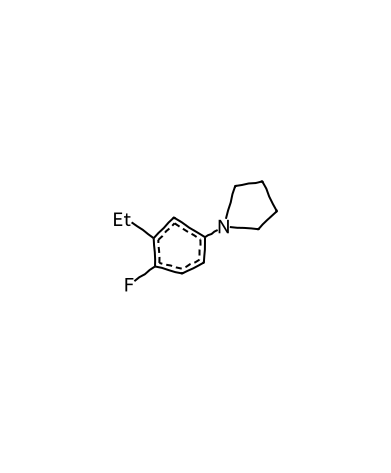 CCc1cc(N2CCCC2)ccc1F